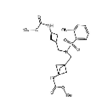 CC(C)(C)OC(=O)NC12CC(CN(CC34CC(NC(=O)OC(C)(C)C)(C3)C4)S(=O)(=O)c3ccccc3N=O)(C1)C2